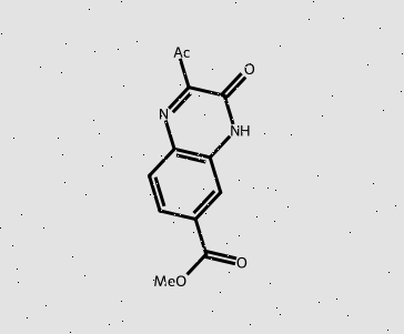 COC(=O)c1ccc2nc(C(C)=O)c(=O)[nH]c2c1